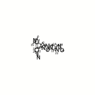 Cc1cc(-c2sc(NC(=O)N3CCC4(CC3)CN(C)C(=O)N4C)nc2-c2cccc(C#N)c2)cc(C)n1